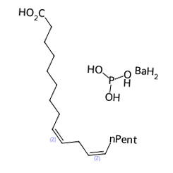 CCCCC/C=C\C/C=C\CCCCCCCC(=O)O.OP(O)O.[BaH2]